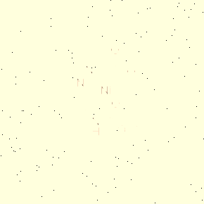 CCOC(=O)c1nnc(C(Cc2ccccc2)NC(=O)OC(C)(C)C)[nH]1